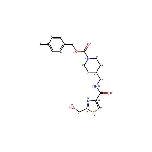 Cc1ccc(COC(=O)N2CCC(CNC(=O)c3csc(CO)n3)CC2)cc1